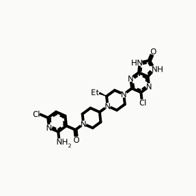 CC[C@H]1CN(c2nc3[nH]c(=O)[nH]c3nc2Cl)CCN1C1CCN(C(=O)c2ccc(Cl)nc2N)CC1